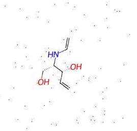 C=CN[C@@H](CO)[C@H](O)C=C